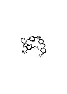 CCc1nc2c(C)cc(C)nc2n1Cc1ccc(NC2CCC(CN3CCN(C)CC3)CC2)cc1